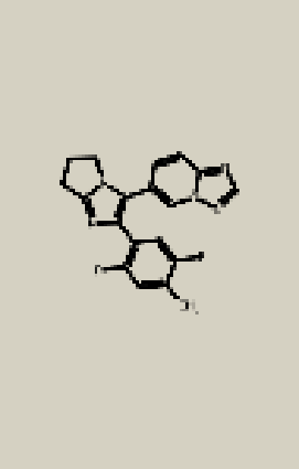 Cc1cc(F)c(-c2nc3n(c2-c2ccc4ncnn4c2)CCC3)cc1F